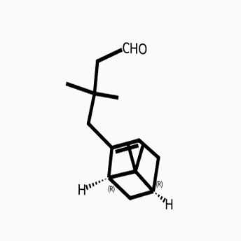 CC(C)(CC=O)CC1=CC[C@H]2C[C@@H]1C2(C)C